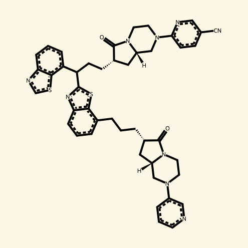 N#Cc1ccc(N2CCN3C(=O)[C@@H](CCC(c4nc5cccc(CCC[C@H]6C[C@H]7CN(c8cccnc8)CCN7C6=O)c5s4)c4cccc5ncsc45)C[C@H]3C2)nc1